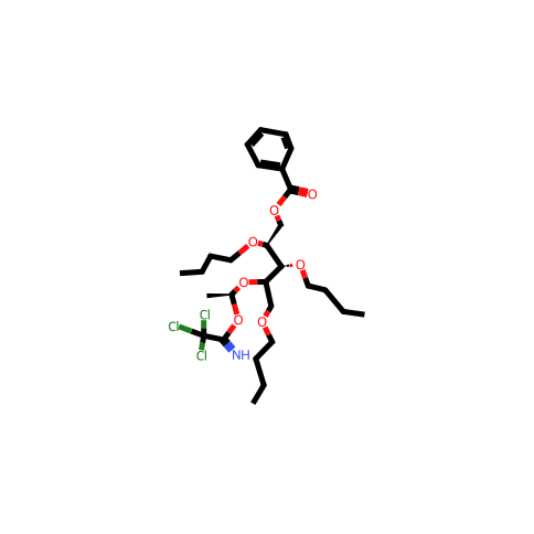 CCCCOCC(O[C@H](C)OC(=N)C(Cl)(Cl)Cl)[C@@H](OCCCC)[C@H](COC(=O)c1ccccc1)OCCCC